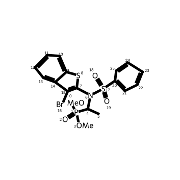 COP(=O)(OC)C(C)N(c1sc2ccccc2c1Br)S(=O)(=O)c1ccccc1